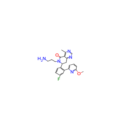 COc1cccc(-c2cc(F)ccc2C2Cc3ncnc(C)c3C(=O)N2CCCN)n1